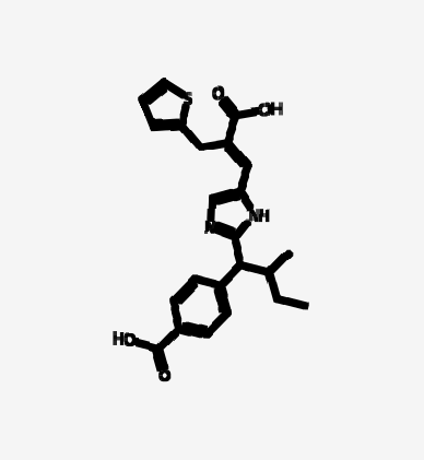 CCC(C)C(c1ccc(C(=O)O)cc1)c1ncc(/C=C(\Cc2cccs2)C(=O)O)[nH]1